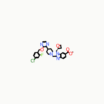 COC(=O)c1ccc2nc(CN3CCC(c4nccnc4OCc4ccc(Cl)cc4F)CC3)n(C[C@@H]3CCO3)c2c1